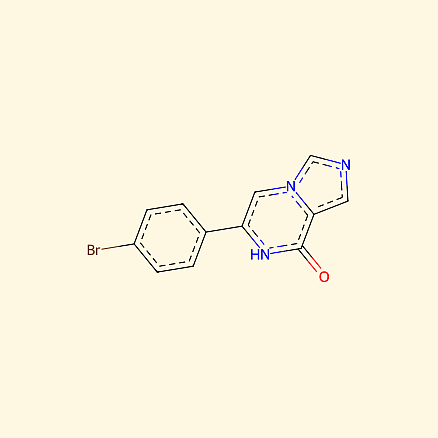 O=c1[nH]c(-c2ccc(Br)cc2)cn2cncc12